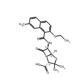 CCOc1ccc2ccc(C)cc2c1C(=O)N[C@@H]1C(=O)N2[C@@H]1SC(C)(C)[C@@H]2C(=O)O